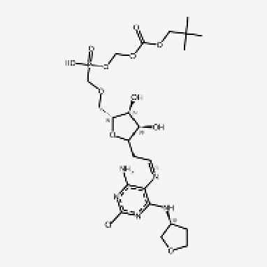 CC(C)(C)COC(=O)OCOP(=O)(O)COC[C@H]1OC(C/C=N\c2c(N)nc(Cl)nc2N[C@H]2CCOC2)[C@H](O)[C@@H]1O